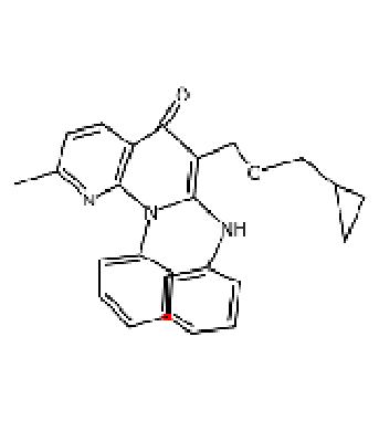 Cc1ccc2c(=O)c(COCC3CC3)c(Nc3ccccc3)n(-c3ccccc3)c2n1